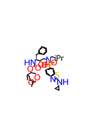 CC(C)CN(C[C@@H](O)[C@H](Cc1ccccc1)NC(=O)OC1COC2OCC1CCC2C)S(=O)(=O)c1ccc2nc(NC3CC3)sc2c1